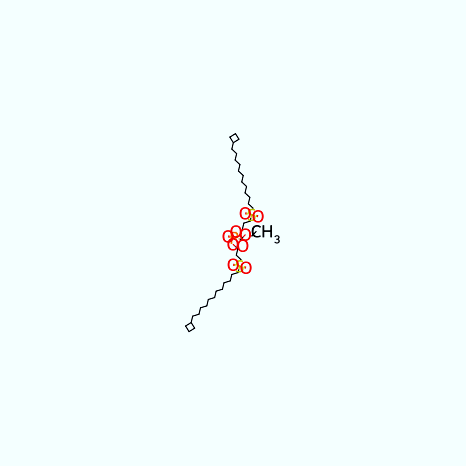 CCOC(=O)P(=O)(OCCCS(=O)(=O)CCCCCCCCCCCCC1CCC1)OCCCS(=O)(=O)CCCCCCCCCCCCC1CCC1